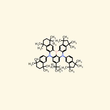 CC(C)(C)c1cc2c3c(c1)N(c1ccc4c(c1)C(C)(C)CC4(C)C)c1cc4c(cc1B3c1cc3c(cc1N2c1ccc2c(c1)C(C)(C)CCC2(C)C)C(C)(C)CCC3(C)C)C(C)(C)CC4(C)C